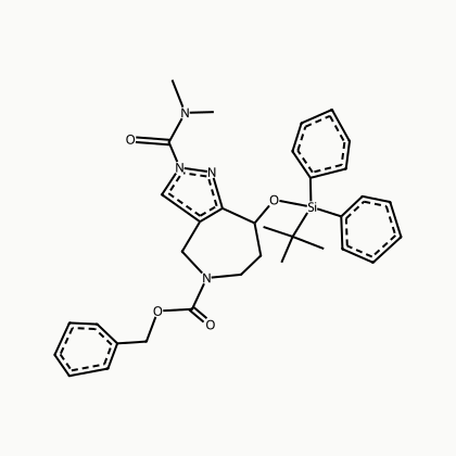 CN(C)C(=O)n1cc2c(n1)C(O[Si](c1ccccc1)(c1ccccc1)C(C)(C)C)CCN(C(=O)OCc1ccccc1)C2